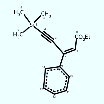 CCOC(=O)C=C(C#C[Si](C)(C)C)c1ccccc1